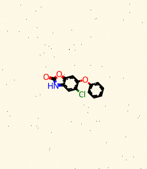 O=c1[nH]c2cc(Cl)c(Oc3ccccc3)cc2o1